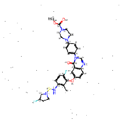 Cc1c(NSN2CCC(F)C2)ccc(F)c1Oc1ccc2ncn(-c3ccc(N4CCN(C(=O)OC(C)(C)C)CC4)cc3)c(=O)c2c1